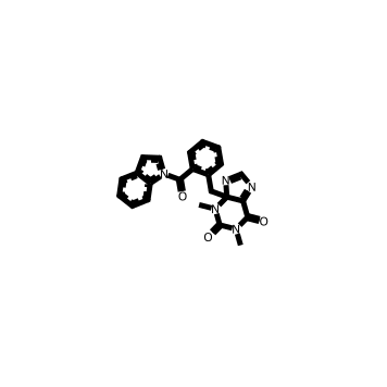 CN1C(=O)C2=NC=NC2(Cc2ccccc2C(=O)n2ccc3ccccc32)N(C)C1=O